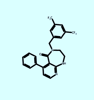 O=C1c2c(-c3ccccc3)ccnc2NCCN1Cc1cc(C(F)(F)F)cc(C(F)(F)F)c1